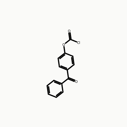 O=C(Cl)Oc1ccc(C(=O)c2ccccc2)cc1